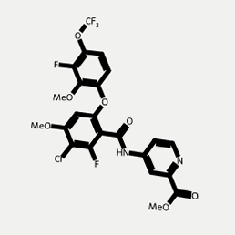 COC(=O)c1cc(NC(=O)c2c(Oc3ccc(OC(F)(F)F)c(F)c3OC)cc(OC)c(Cl)c2F)ccn1